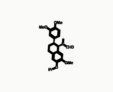 COc1ccc([C@@H]2CCc3cc(OC(C)C)c(OC)cc3[C@@H]2N(C)C=O)cc1OC